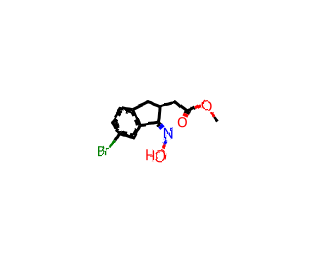 COC(=O)CC1Cc2ccc(Br)cc2C1=NO